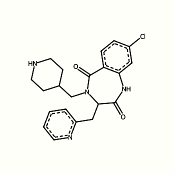 O=C1Nc2cc(Cl)ccc2C(=O)N(CC2CCNCC2)C1Cc1ccccn1